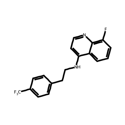 Fc1cccc2c(NCCc3ccc(C(F)(F)F)cc3)ccnc12